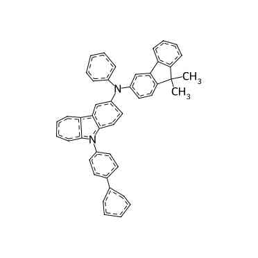 CC1(C)c2ccccc2-c2cc(N(c3ccccc3)c3ccc4c(c3)c3ccccc3n4-c3ccc(-c4ccccc4)cc3)ccc21